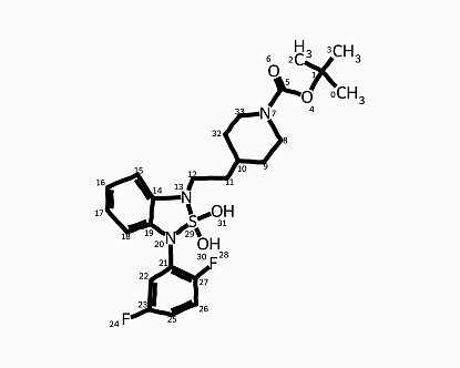 CC(C)(C)OC(=O)N1CCC(CCN2c3ccccc3N(c3cc(F)ccc3F)S2(O)O)CC1